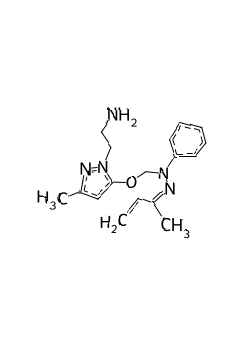 C=C/C(C)=N\N(COc1cc(C)nn1CCN)c1ccccc1